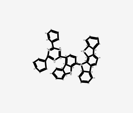 c1ccc(-c2nc(-c3ccccc3)nc(-c3ccc(-n4c5ccccc5c5ccc6c7ccccc7sc6c54)c4sc5ccccc5c34)n2)cc1